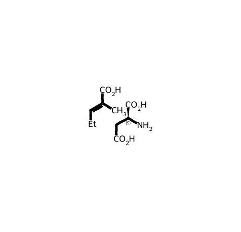 CCC=C(C)C(=O)O.N[C@@H](CC(=O)O)C(=O)O